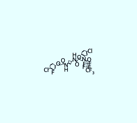 O=C(COc1ccc(Cl)c(F)c1)NC1=CC(NC(=O)C2CN(C(=O)C(F)(F)C(F)(F)C(F)(F)F)c3cc(Cl)ccc3O2)C1